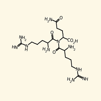 N=C(N)NCCCC(N)C(=O)N(C(=O)C(N)CCCNC(=N)N)C(CCC(N)=O)C(=O)O